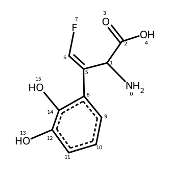 NC(C(=O)O)C(=CF)c1cccc(O)c1O